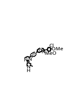 COc1cc(OC)c(-c2cn3ccc(N4CCN(c5ccnc(N6CCNC(C)C6)n5)CC4)cc3n2)cc1Cl